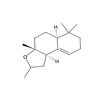 CC1C[C@@H]2C3=CCCC(C)(C)[C@@H]3CC[C@@]2(C)O1